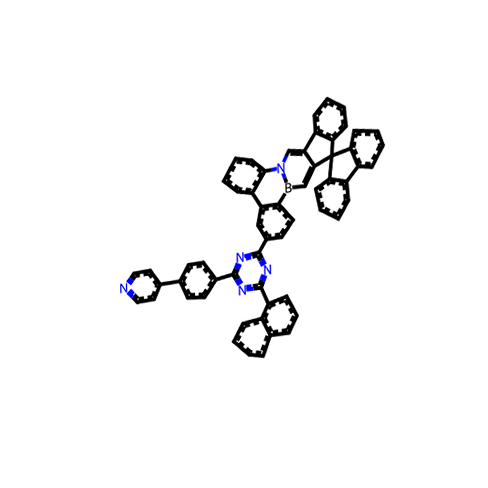 C1=C2C(=CB3c4ccc(-c5nc(-c6ccc(-c7ccncc7)cc6)nc(-c6cccc7ccccc67)n5)cc4-c4ccccc4N13)C1(c3ccccc32)c2ccccc2-c2ccccc21